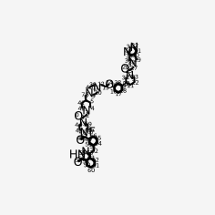 O=C(CN1CCC(CN2CCN(CCOc3cccc([C@@H]4CCCN(C(=O)CN5Cc6cncnc6C5)C4)c3)CC2)CC1)N1CCN(C(=O)c2cc(Cc3n[nH]c(=O)c4ccccc34)ccc2F)CC1